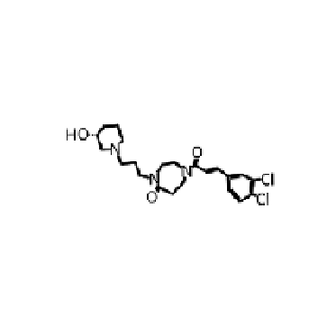 O=C(C=Cc1ccc(Cl)c(Cl)c1)N1CCC(=O)N(CCCN2CCC[C@@H](O)C2)CC1